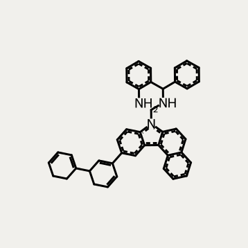 Nc1ccccc1C(NCn1c2ccc(C3=CC(C4=CC=CCC4)CC=C3)cc2c2c3ccccc3ccc21)c1ccccc1